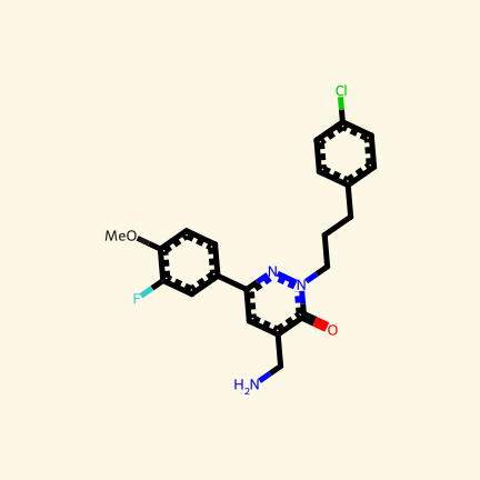 COc1ccc(-c2cc(CN)c(=O)n(CCCc3ccc(Cl)cc3)n2)cc1F